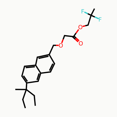 CCC(C)(CC)c1ccc2cc(COCC(=O)OCC(C)(F)F)ccc2c1